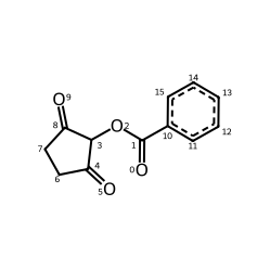 O=C(OC1C(=O)CCC1=O)c1ccccc1